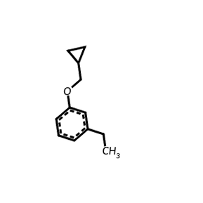 CCc1cccc(OCC2CC2)c1